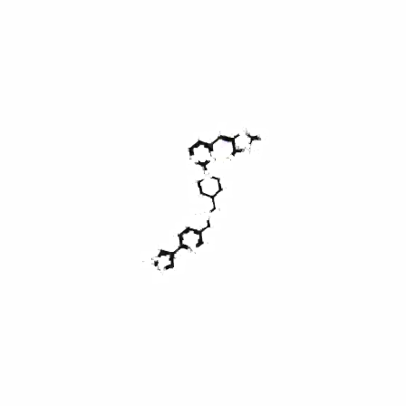 O=C1NC(=O)/C(=C\c2ccnc(N3CCC(CNCc4ccc(-c5cn[nH]c5)nc4)CC3)n2)S1